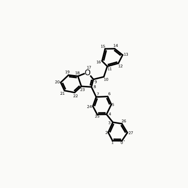 [c]1ccc(-c2ccc(-c3c(Cc4ccccc4)oc4ccccc34)cc2)cc1